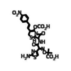 CC(C)(ON=C(C(=O)NC1C(=O)N2C(OC(=O)O)=C(C=Cc3ccc([N+](=O)[O-])cc3)CS[C@@H]12)c1csc(N)n1)C(=O)O